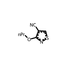 CCCOc1nscc1C#N